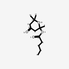 CCCCC(=O)OC1(C)CC(=O)CC(C)(C)O1